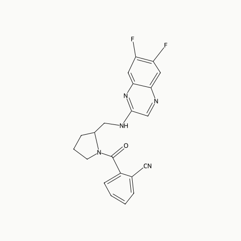 N#Cc1ccccc1C(=O)N1CCCC1CNc1cnc2cc(F)c(F)cc2n1